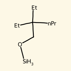 CCCC(CC)(CC)CO[SiH3]